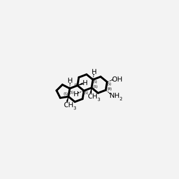 C[C@@]12CCC[C@H]1[C@@H]1CC[C@H]3C[C@H](O)[C@H](N)C[C@]3(C)[C@H]1CC2